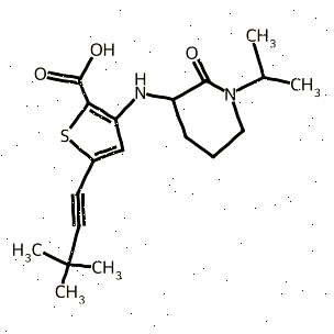 CC(C)N1CCCC(Nc2cc(C#CC(C)(C)C)sc2C(=O)O)C1=O